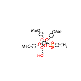 COc1ccc(CO[C@@H]2[C@@H](OCc3ccc(OC)cc3)[C@H](OCCCO)O[C@H](COS(=O)(=O)c3ccc(C)cc3)[C@H]2OCc2ccc(OC)cc2)cc1